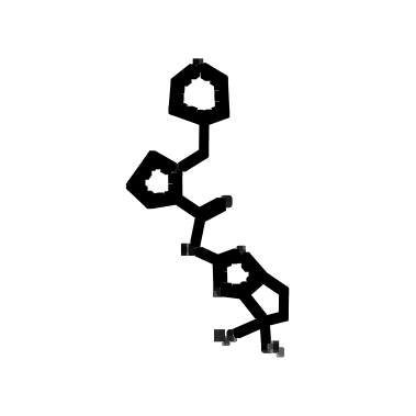 CC1(C)CCc2sc(NC(=O)c3cccn3Cc3ccncc3)nc21